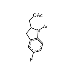 CC(=O)OCC1Cc2cc(F)ccc2N1C(C)=O